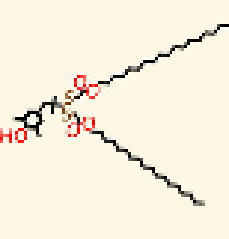 CCCCCCCCCCCCCCCCCCOC(=O)CSC(SCC(=O)OCCCCCCCCCCCCCCCCCC)C(C)(C)Cc1cc(C)c(O)c(C)c1